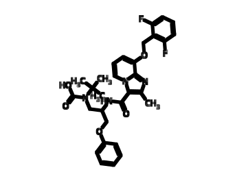 Cc1nc2c(OCc3c(F)cccc3F)cccn2c1C(=O)NC(COc1ccccc1)CN(C(=O)O)C(C)(C)C